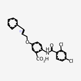 O=C(Nc1ccc(OC/C=C/c2ccccc2)cc1C(=O)O)c1ccc(Cl)cc1Cl